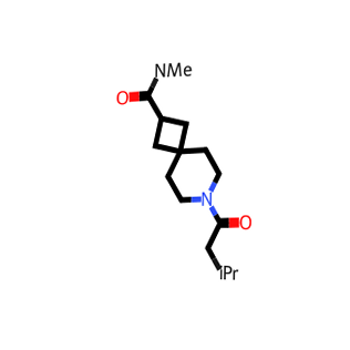 CNC(=O)C1CC2(CCN(C(=O)CC(C)C)CC2)C1